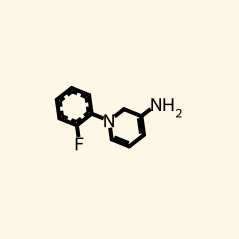 NC1=CC=CN(c2ccccc2F)C1